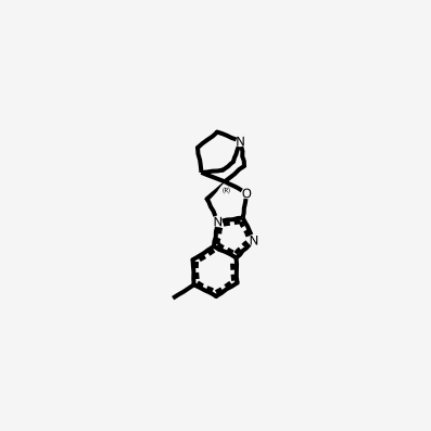 Cc1ccc2nc3n(c2c1)C[C@@]1(CN2CCC1CC2)O3